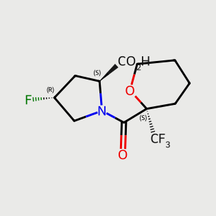 O=C(O)[C@@H]1C[C@@H](F)CN1C(=O)[C@]1(C(F)(F)F)CCCCO1